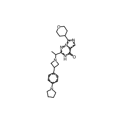 CC(c1nn2c(C3CCOCC3)ncc2c(=O)[nH]1)N1CC(c2ccc(N3CCCC3)cc2)C1